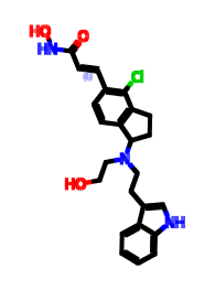 O=C(/C=C/c1ccc2c(c1Cl)CCC2N(CCO)CCc1c[nH]c2ccccc12)NO